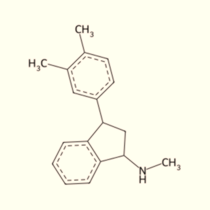 CNC1CC(c2ccc(C)c(C)c2)c2ccccc21